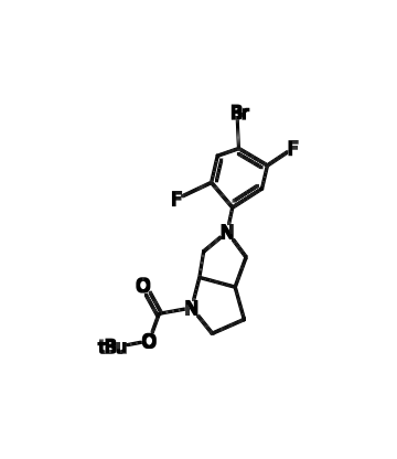 CC(C)(C)OC(=O)N1CCC2CN(c3cc(F)c(Br)cc3F)CC21